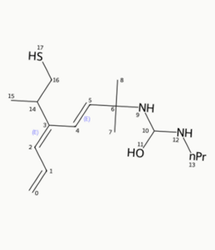 C=C/C=C(\C=C\C(C)(C)NC(O)NCCC)C(C)CS